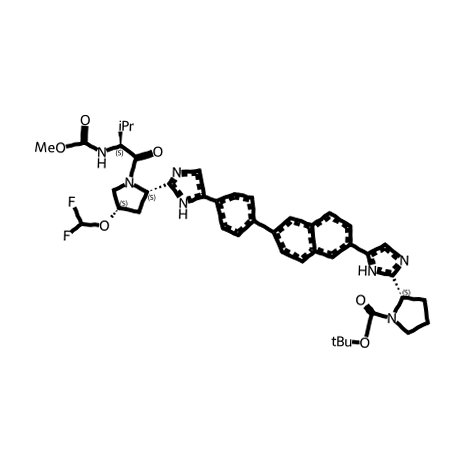 COC(=O)N[C@H](C(=O)N1C[C@@H](OC(F)F)C[C@H]1c1ncc(-c2ccc(-c3ccc4cc(-c5cnc([C@@H]6CCCN6C(=O)OC(C)(C)C)[nH]5)ccc4c3)cc2)[nH]1)C(C)C